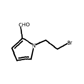 O=Cc1cccn1CCBr